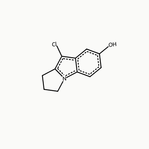 Oc1ccc2c(c1)c(Cl)c1n2CCC1